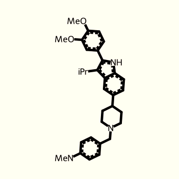 CNc1ccc(CN2CCC(c3ccc4[nH]c(-c5ccc(OC)c(OC)c5)c(C(C)C)c4c3)CC2)cc1